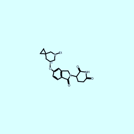 CCN1C[C@@H](Oc2ccc3c(c2)CN(C2CCC(=O)NC2=O)C3=O)CC2(CC2)C1